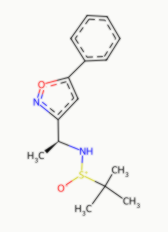 C[C@H](N[S+]([O-])C(C)(C)C)c1cc(-c2ccccc2)on1